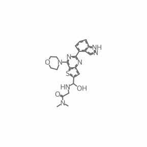 CN(C)C(=O)CNC(O)c1cc2nc(-c3cccc4[nH]ncc34)nc(N3CCOCC3)c2s1